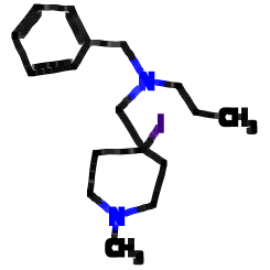 CCCN(Cc1ccccc1)CC1(I)CCN(C)CC1